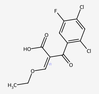 CCO/C=C(\C(=O)O)C(=O)c1cc(F)c(Cl)cc1Cl